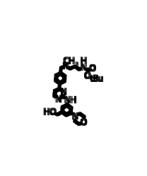 CN(CCCNC(=O)OC(C)(C)C)Cc1ccc(-c2ccnc(Nc3cc(CO)cc(N4CCOCC4)c3)n2)cc1